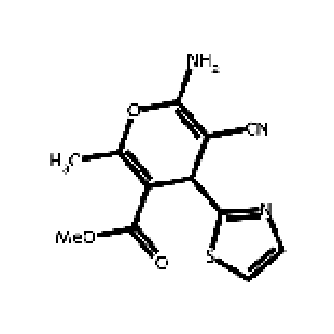 COC(=O)C1=C(C)OC(N)=C(C#N)C1c1nccs1